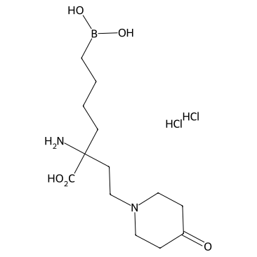 Cl.Cl.NC(CCCCB(O)O)(CCN1CCC(=O)CC1)C(=O)O